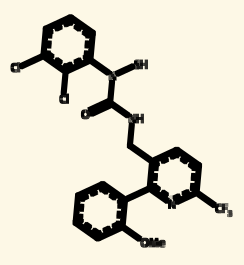 COc1ccccc1-c1nc(C(F)(F)F)ccc1CNC(=O)N(S)c1cccc(Cl)c1Cl